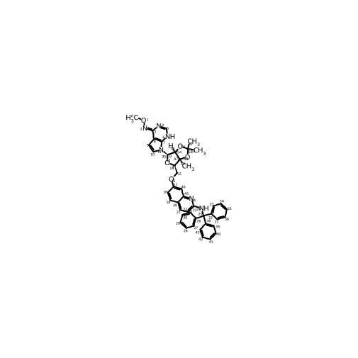 CON=c1nc[nH]c2c1ccn2[C@@H]1O[C@H](COc2ccc3ccc(NC(c4ccccc4)(c4ccccc4)c4ccccc4)nc3c2)[C@@]2(C)OC(C)(C)O[C@@H]12